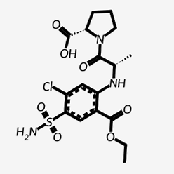 CCOC(=O)c1cc(S(N)(=O)=O)c(Cl)cc1N[C@@H](C)C(=O)N1CCC[C@H]1C(=O)O